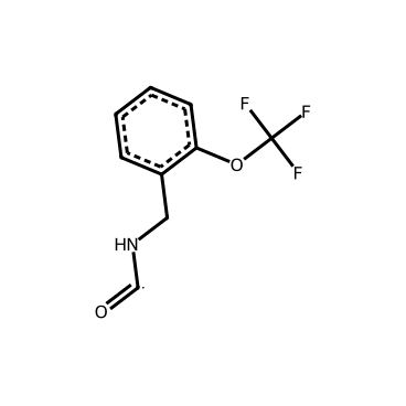 O=[C]NCc1ccccc1OC(F)(F)F